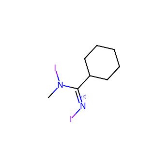 CN(I)/C(=N\I)C1CCCCC1